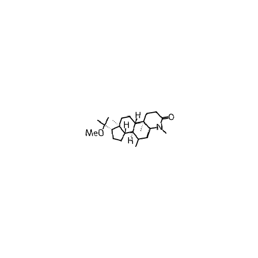 COC(C)(C)[C@H]1CC[C@H]2[C@@H]3C(C)CC4N(C)C(=O)CC[C@]4(C)[C@H]3CC[C@]12C